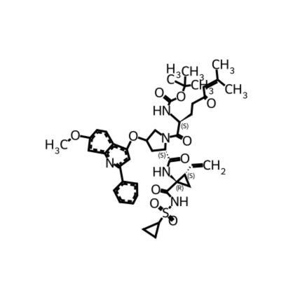 C=C[C@@H]1C[C@]1(NC(=O)[C@@H]1CC(Oc2cc(-c3ccccc3)nc3cc(OC)ccc23)CN1C(=O)[C@H](CCC(=O)C=C(C)C)NC(=O)OC(C)(C)C)C(=O)NS(=O)(=O)C1CC1